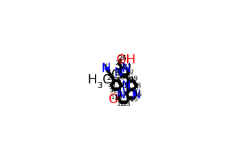 CC(C)(C#N)c1ccc(-n2c(=O)ccc3cnc4ccc(-c5cnc(CO)nc5)nc4c32)cc1